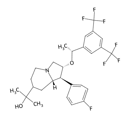 C[C@@H](O[C@H]1CN2CCC(C(C)(C)O)C[C@H]2[C@@H]1c1ccc(F)cc1)c1cc(C(F)(F)F)cc(C(F)(F)F)c1